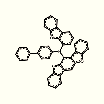 c1ccc(-c2ccc(N(c3cccc4c3oc3ccccc34)c3c4oc5ccccc5c4cc4oc5ccccc5c34)cc2)cc1